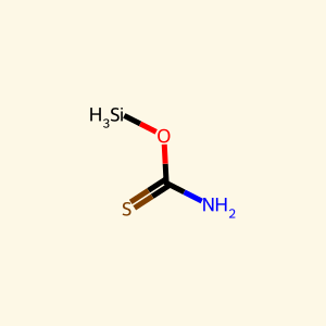 NC(=S)O[SiH3]